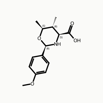 COc1ccc([C@@H]2N[C@H](C(=O)O)[C@@H](C)[C@H](C)O2)cc1